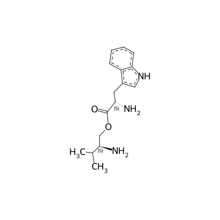 CC(C)[C@H](N)COC(=O)[C@@H](N)Cc1c[nH]c2ccccc12